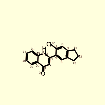 O=c1cc(-c2cc3c(cc2Cl)CCC3)[nH]c2ccccc12